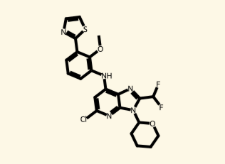 COc1c(Nc2cc(Cl)nc3c2nc(C(F)F)n3C2CCCCO2)cccc1-c1nccs1